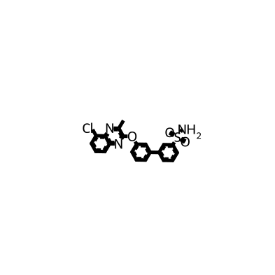 Cc1nc2c(Cl)cccc2nc1Oc1cccc(-c2cccc(S(N)(=O)=O)c2)c1